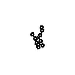 c1ccc(-c2cccc(N(c3ccc(-c4ccc5ccccc5c4)cc3)c3ccc4c(c3)C3(c5ccccc5-c5ccccc53)c3ccccc3-4)c2)cc1